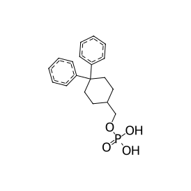 O=P(O)(O)OCC1CCC(c2ccccc2)(c2ccccc2)CC1